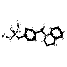 CCOP(=O)(Cc1ccc(C(=S)N2CCCc3ccccc32)cc1)OCC